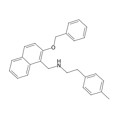 Cc1ccc(CCNCc2c(OCc3ccccc3)ccc3ccccc23)cc1